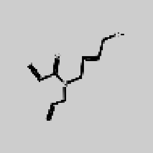 C=CCN(C/C=C/CO)C(=O)C=C